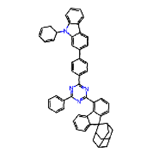 C1=CCC(n2c3ccccc3c3ccc(-c4ccc(-c5nc(-c6ccccc6)nc(-c6cccc7c6-c6ccccc6C76C7CC8CC(C7)CC6C8)n5)cc4)cc32)C=C1